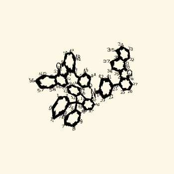 c1ccc(C2(c3ccccc3)c3ccccc3-c3c(N(c4ccc(-c5cccc6oc7c8ccccc8ccc7c56)cc4)c4ccc(-c5cccc6oc7c8ccccc8ccc7c56)cc4)cccc32)cc1